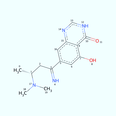 C[C@H](CC(=N)c1cc(O)c2c(=O)[nH]cnc2c1)N(C)C